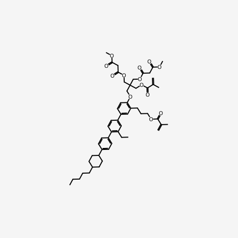 C=C(C)C(=O)OCCCc1cc(-c2ccc(-c3ccc(C4CCC(CCCCC)CC4)cc3)c(CC)c2)ccc1OCC(COC(=O)CC(=O)OC)(COC(=O)CC(=O)OC)COC(=O)C(=C)C